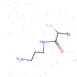 BC(CC)C(=O)NCCCN